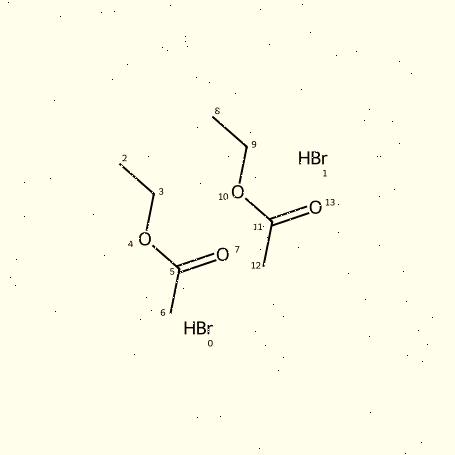 Br.Br.CCOC(C)=O.CCOC(C)=O